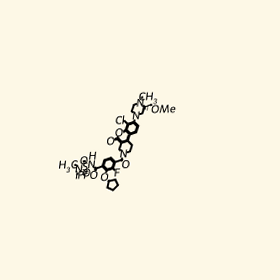 COC[C@H]1CN(c2ccc3c4c(c(=O)oc3c2Cl)CN(C(=O)c2ccc(C(=O)NS(=O)(=O)N(C)C(C)C)c(OC3CCCC3)c2F)CC4)CCN1C